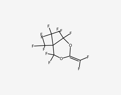 FC(F)=C1OC(F)(F)C(C(F)(F)F)(C(F)(F)F)C(F)(F)O1